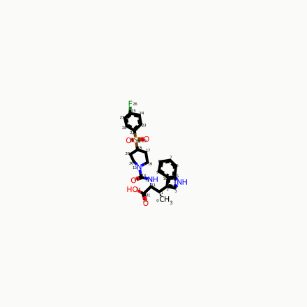 C[C@@H](c1c[nH]c2ccccc12)[C@@H](NC(=O)N1CCC(S(=O)(=O)c2ccc(F)cc2)CC1)C(=O)O